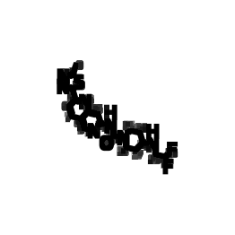 Cc1nnc(-c2ccc3cnc(NC(=O)N4CCC(NCC(F)F)CC4)cc3n2)s1